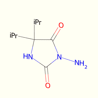 CC(C)C1(C(C)C)NC(=O)N(N)C1=O